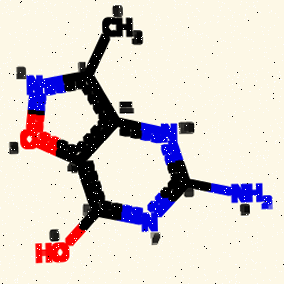 Cc1noc2c(O)nc(N)nc12